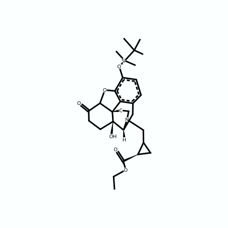 CCOC(=O)[C@@H]1CC1CN1CC[C@]23c4c5ccc(O[Si](C)(C)C(C)(C)C)c4OC2C(=O)CC[C@@]3(O)[C@H]1C5